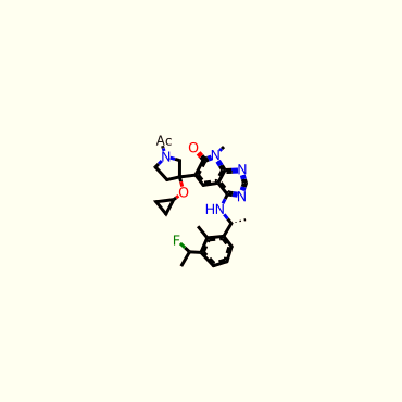 CC(=O)N1CCC(OC2CC2)(c2cc3c(N[C@H](C)c4cccc(C(C)F)c4C)ncnc3n(C)c2=O)C1